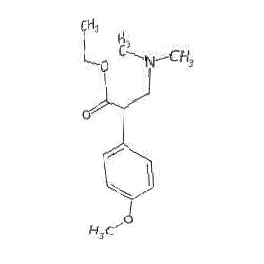 CCOC(=O)C(CN(C)C)c1ccc(OC)cc1